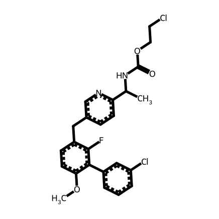 COc1ccc(Cc2ccc(C(C)NC(=O)OCCCl)nc2)c(F)c1-c1cccc(Cl)c1